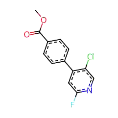 COC(=O)c1ccc(-c2cc(F)ncc2Cl)cc1